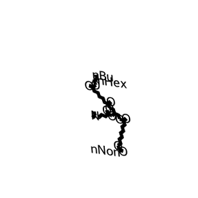 CCCCCCCCCC(=O)OCCCCCCCC(=O)OCC(COC(=O)CCCCCC(=O)OCC(CCCC)CCCCCC)OC(=O)CCCN(C)C